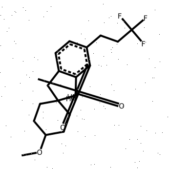 COC1CCC2(CC1)Cc1ccc(CCC(F)(F)F)cc1C21NC(=O)NC1=O